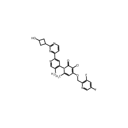 Cc1cnc(-c2ccnc(C3CC(O)C3)n2)cc1-n1c(C)cc(OCc2ncc(F)cc2F)c(Cl)c1=O